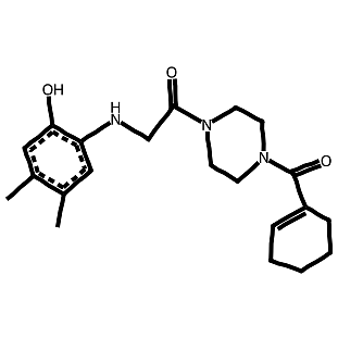 Cc1cc(O)c(NCC(=O)N2CCN(C(=O)C3=CCCCC3)CC2)cc1C